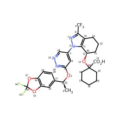 C[C@H](Oc1cc(-n2nc(C(F)(F)F)c3c2[C@H](OC2(C(=O)O)CCCCC2)CCC3)cnn1)c1ccc2c(c1)OC(F)(F)O2